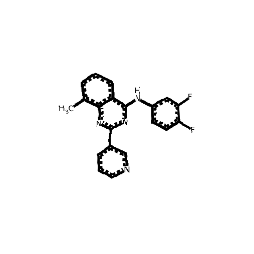 Cc1cccc2c(Nc3ccc(F)c(F)c3)nc(-c3cccnc3)nc12